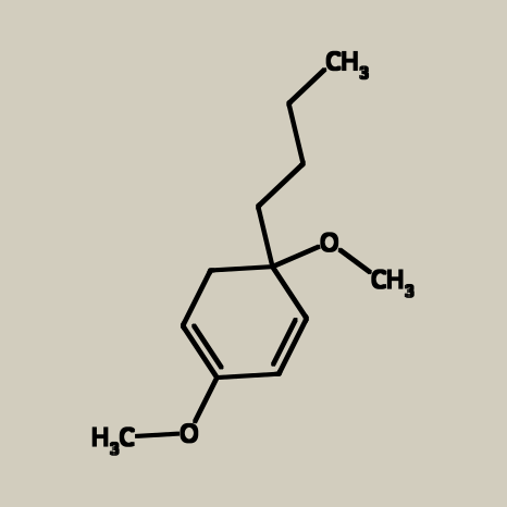 CCCCC1(OC)C=CC(OC)=CC1